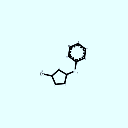 [CH2]CC1C[CH]C(Oc2ccccc2)C1